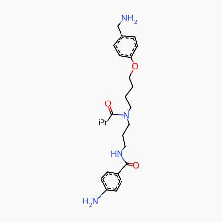 CC(C)C(=O)N(CCCCOc1ccc(CN)cc1)CCCNC(=O)c1ccc(N)cc1